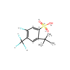 CC(C)(C)c1cc(C(F)(F)F)c(F)cc1S(=O)(=O)O